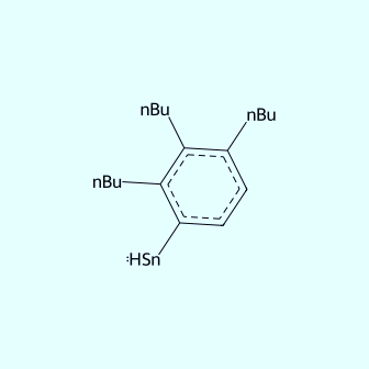 CCCCc1cc[c]([SnH])c(CCCC)c1CCCC